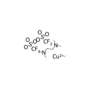 CN(C)CCN(C)C.O=S(=O)([O-])C(F)(F)F.O=S(=O)([O-])C(F)(F)F.[Cu+2]